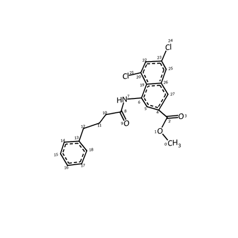 COC(=O)c1cc(NC(=O)CCCc2ccccc2)c2c(Cl)cc(Cl)cc2c1